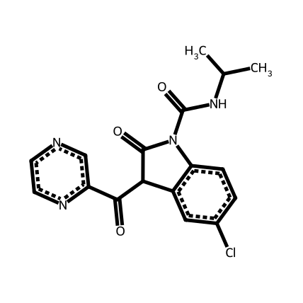 CC(C)NC(=O)N1C(=O)C(C(=O)c2cnccn2)c2cc(Cl)ccc21